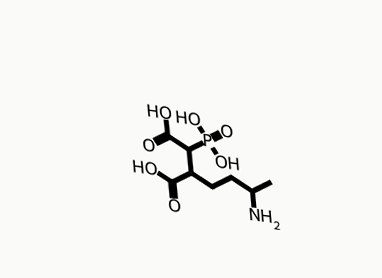 CC(N)CCC(C(=O)O)C(C(=O)O)P(=O)(O)O